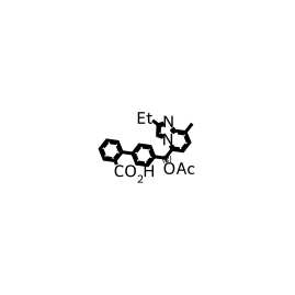 CCc1cn2c([C@H](OC(C)=O)c3ccc(-c4ccccc4C(=O)O)cc3)ccc(C)c2n1